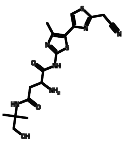 Cc1nc(NC(=O)C(N)CC(=O)NC(C)(C)CO)sc1-c1csc(CC#N)n1